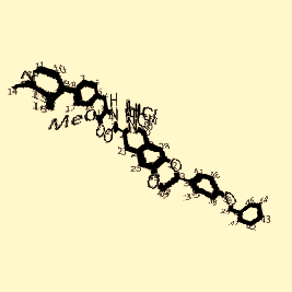 COC(=O)C(Cc1ccc(-c2ccnc(C)c2C)cc1)NC(=O)[C@@H]1Cc2cc3c(cc2CN1)O[C@@H](c1ccc(OCC2CCCCC2)cc1)CO3.Cl.Cl